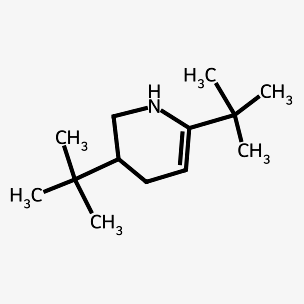 CC(C)(C)C1=CCC(C(C)(C)C)CN1